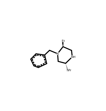 CCC[C@@H]1CN(Cc2ccccc2)[C@@H](CC)CN1